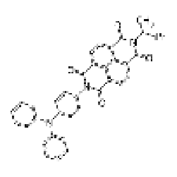 CC(C)C(C)N1C(=O)c2ccc3c4c(ccc(c24)C1=O)C(=O)N(c1ccc(N(c2ccccc2)c2ccccc2)cc1)C3=O